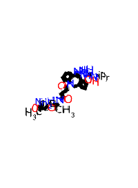 CC(C)NCC(O)N(N)/C1=C(\N)c2ccccc2N(C(=O)CCC(=O)NCC(C)(C)OCCC(C)(C)C(N)=O)Cc2ccccc21